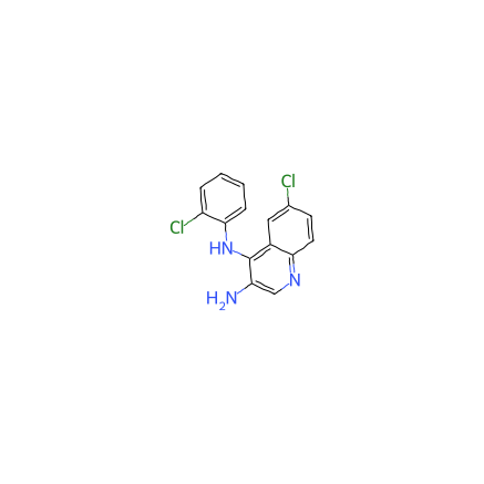 Nc1cnc2ccc(Cl)cc2c1Nc1ccccc1Cl